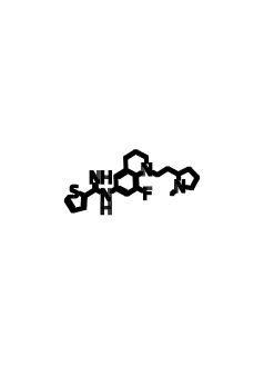 CN1CCCC1CCN1CCCc2cc(NC(=N)c3cccs3)cc(F)c21